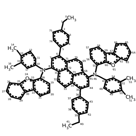 CCc1ccc(-c2cc(N(c3ccc(C)c(C)c3)c3cccc4c3oc3ccccc34)c3ccc4c(-c5ccc(CC)cc5)cc(N(c5ccc(C)c(C)c5)c5cccc6c5oc5ccccc56)c5ccc2c3c45)cc1